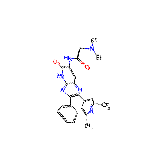 CCN(CC)CC(=O)Nc1cc2nc(-c3cc(C)nc(C(F)(F)F)c3)c(-c3ccccc3)nc2[nH]c1=O